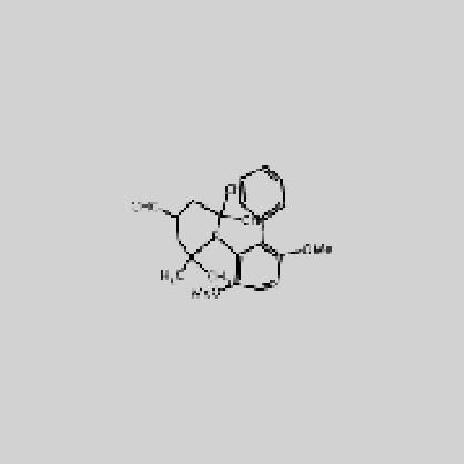 COc1ccc(OC)c(P2C(C)(C)CC(C=O)CC2(C)C)c1-c1ccccc1